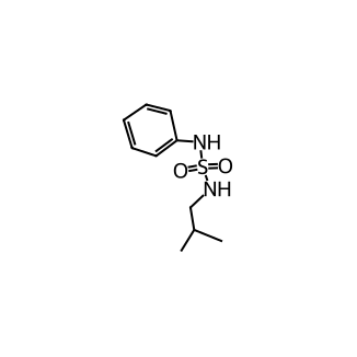 CC(C)CNS(=O)(=O)Nc1ccccc1